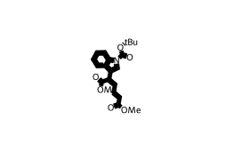 COC(=O)C=CC=C(C(=O)OC)c1cn(C(=O)OC(C)(C)C)c2ccccc12